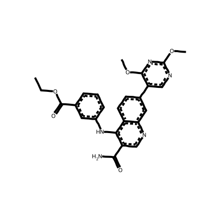 CCOC(=O)c1cccc(Nc2c(C(N)=O)cnc3cc(-c4cnc(OC)nc4OC)ccc23)c1